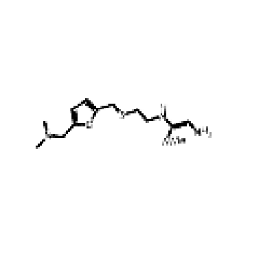 CN/C(=C\N)NCCSCc1ccc(CN(C)C)o1